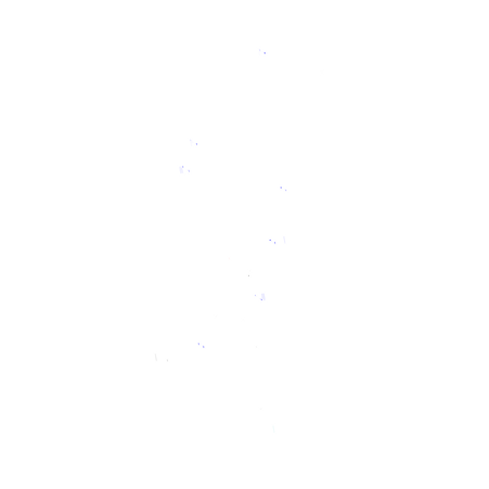 Cc1cc(-c2n[nH]c3cc(NC(=O)Nc4cn(C)cc4-c4ccccc4C(F)(F)F)ncc23)ccn1